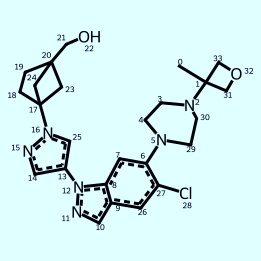 CC1(N2CCN(c3cc4c(cnn4-c4cnn(C56CCC(CO)(C5)C6)c4)cc3Cl)CC2)COC1